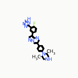 C[C@@H]1CNC[C@H](C)N1c1ccc(-c2cnc3c(-c4ccc(F)c(-c5nnn[nH]5)c4)cnn3c2)cc1